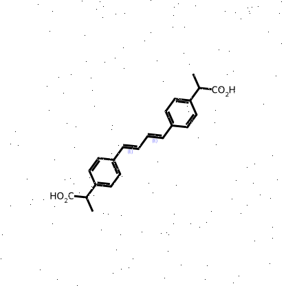 CC(C(=O)O)c1ccc(/C=C/C=C/c2ccc(C(C)C(=O)O)cc2)cc1